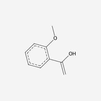 C=C(O)c1ccccc1OC